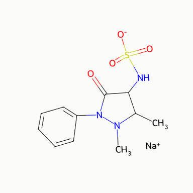 CC1C(NS(=O)(=O)[O-])C(=O)N(c2ccccc2)N1C.[Na+]